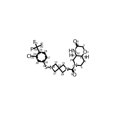 O=C1CO[C@H]2CCN(C(=O)N3CC4(CN(Sc5ccc(C(F)(F)F)c(Cl)c5)C4)C3)C[C@H]2N1